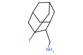 NCC1C2CC3CC(C2)CC1(I)C3